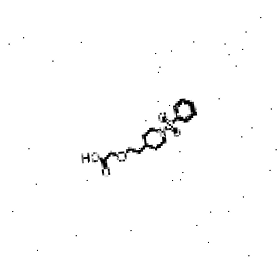 O=C(O)COCCC1CCN(S(=O)(=O)c2ccccc2)CC1